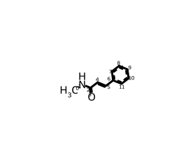 CNC(=O)C=Cc1c[c]ccc1